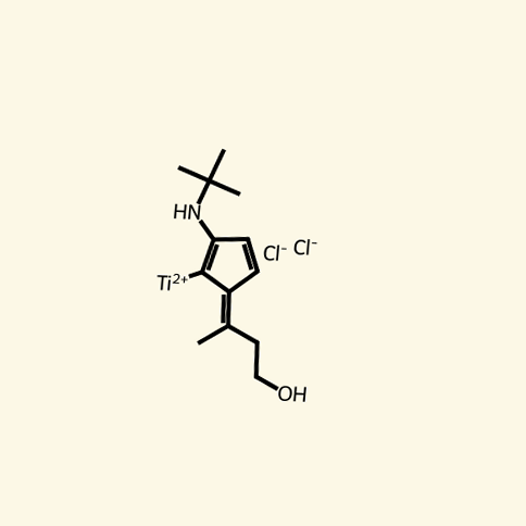 CC(CCO)=C1C=CC(NC(C)(C)C)=[C]1[Ti+2].[Cl-].[Cl-]